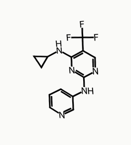 FC(F)(F)c1cnc(Nc2cccnc2)nc1NC1CC1